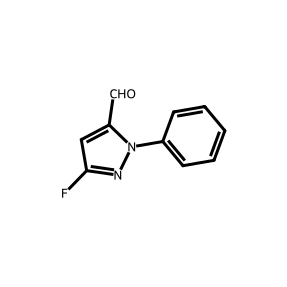 O=Cc1cc(F)nn1-c1ccccc1